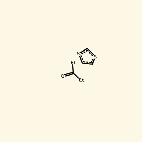 CCC(=O)CC.c1cscn1